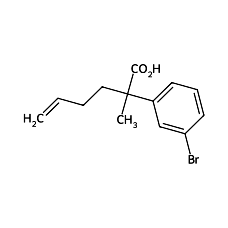 C=CCCC(C)(C(=O)O)c1cccc(Br)c1